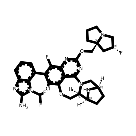 Nc1nc2cccc(-c3c(Cl)c4c5c(nc(OC[C@@]67CCCN6C[C@H](F)C7)nc5c3F)N3C[C@H]5CC[C@H](N5)[C@H]3CO4)c2n1C(F)F